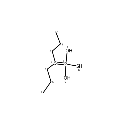 CCCS(CCC)=P(O)(O)S